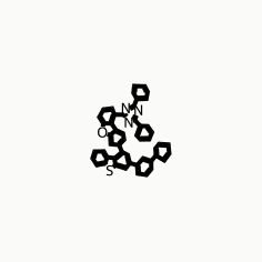 c1ccc(-c2cccc(-c3cc(-c4ccc5c(c4)oc4cccc(-c6nc(-c7ccccc7)nc(-c7ccccc7)n6)c45)c4c(c3)sc3ccccc34)c2)cc1